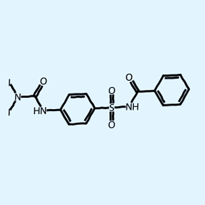 O=C(NS(=O)(=O)c1ccc(NC(=O)N(I)I)cc1)c1ccccc1